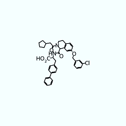 O=C(N[C@@H](Cc1ccc(-c2ccccc2)cc1)C(=O)O)C1c2cc(OCc3cccc(Cl)c3)ccc2CCN1C(=O)CC1CCCC1